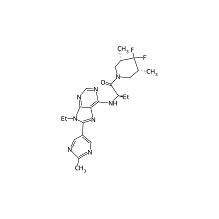 CC[C@@H](Nc1ncnc2c1nc(-c1cnc(C)nc1)n2CC)C(=O)N1C[C@@H](C)C(F)(F)[C@@H](C)C1